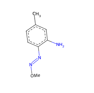 CON=Nc1ccc(C)cc1N